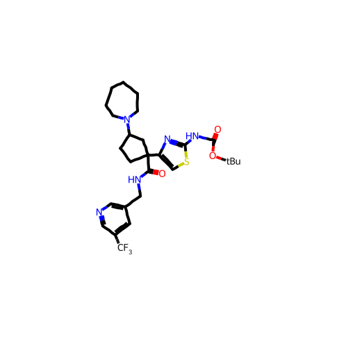 CC(C)(C)OC(=O)Nc1nc(C2(C(=O)NCc3cncc(C(F)(F)F)c3)CCC(N3CCCCCC3)C2)cs1